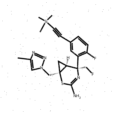 Cc1cn(C[C@]23C[C@H]2[C@@](CF)(c2cc(C#C[Si](C)(C)C)ccc2F)N=C(N)S3)nn1